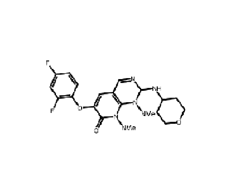 CNN1c2c(cc(Oc3ccc(F)cc3F)c(=O)n2NC)C=NC1NC1CCOCC1